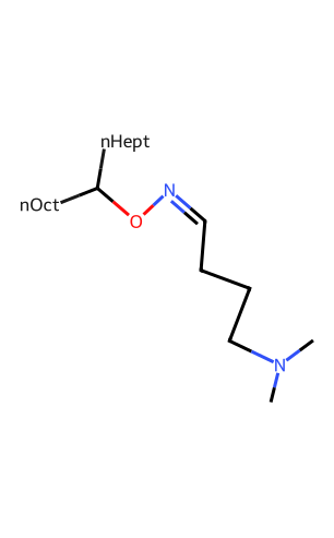 CCCCCCCCC(CCCCCCC)O/N=C\CCCN(C)C